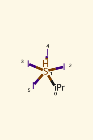 CC(C)[SH](I)(I)(I)I